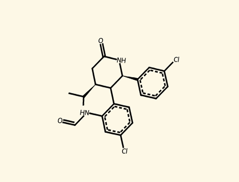 CC(C)[C@H]1CC(=O)N[C@@H](c2cccc(Cl)c2)C1c1ccc(Cl)cc1NC=O